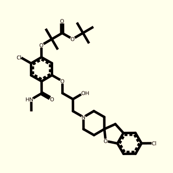 CNC(=O)c1cc(Cl)c(OC(C)(C)C(=O)OC(C)(C)C)cc1OCC(O)CN1CCC2(CC1)Cc1cc(Cl)ccc1O2